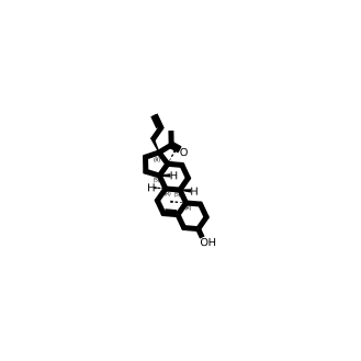 C=CC[C@]1(C(C)=O)CC[C@H]2[C@@H]3CC=C4CC(O)CC[C@]4(C)[C@H]3CC[C@@]21C